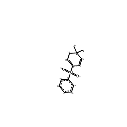 CC1(C)C=CC(S(=O)(=O)c2ccccc2)=CC1